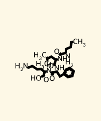 CCCCC(N)C(=O)NC(CC(C)C)C(=O)NC(Cc1ccccc1)C(=O)NC(CCCCN)C(=O)O